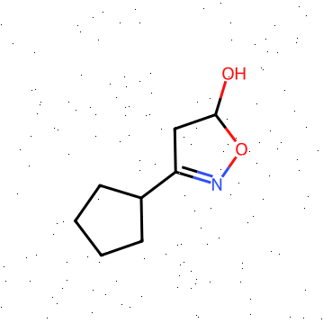 OC1CC(C2CCCC2)=NO1